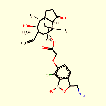 C=C[C@]1(C)C[C@@H](OC(=O)COc2ccc3c(c2Cl)B(O)OC3CN)[C@]2(C)[C@H](C)CC[C@]3(CCC(=O)[C@H]32)[C@@H](C)[C@@H]1O